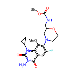 COc1c(N2CCOC(CNC(=O)OC(C)(C)C)C2)c(F)cc2c(=O)n(N)c(=O)n(C3CC3)c12